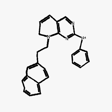 C1=Cc2cnc(Nc3ccccc3)nc2N(CCc2ccc3ccccc3c2)C1